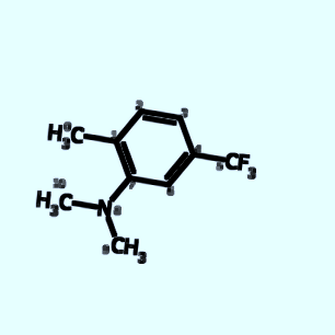 Cc1ccc(C(F)(F)F)cc1N(C)C